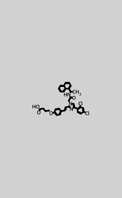 CC(NC(=O)Cn1cc(-c2ccc(Cl)cc2Cl)nc1/C=C/c1ccc(OCCCC(=O)O)cc1)c1cccc2ccccc12